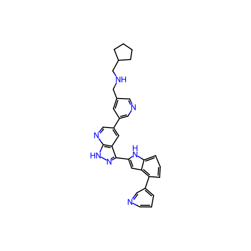 c1cncc(-c2cccc3[nH]c(-c4n[nH]c5ncc(-c6cncc(CNCC7CCCC7)c6)cc45)cc23)c1